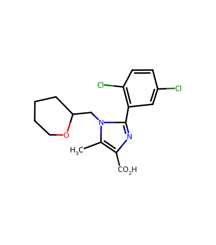 Cc1c(C(=O)O)nc(-c2cc(Cl)ccc2Cl)n1CC1CCCCO1